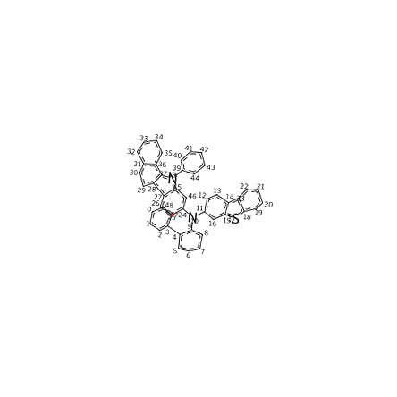 c1ccc(-c2ccccc2N(c2ccc3c(c2)sc2ccccc23)c2ccc3c4ccc5ccccc5c4n(-c4ccccc4)c3c2)cc1